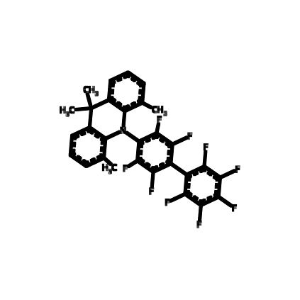 Cc1cccc2c1N(c1c(F)c(F)c(-c3c(F)c(F)c(F)c(F)c3F)c(F)c1F)c1c(C)cccc1C2(C)C